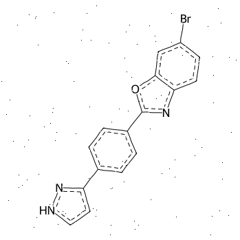 Brc1ccc2nc(-c3ccc(-c4cc[nH]n4)cc3)oc2c1